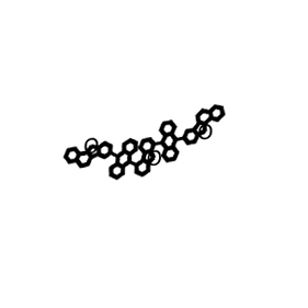 c1ccc2c(c1)ccc1c3cc(-c4c5ccccc5c(-c5cccc6c5oc5cccc(-c7c8ccccc8c(-c8ccc9oc%10c%11ccccc%11ccc%10c9c8)c8ccccc78)c56)c5ccccc45)ccc3oc21